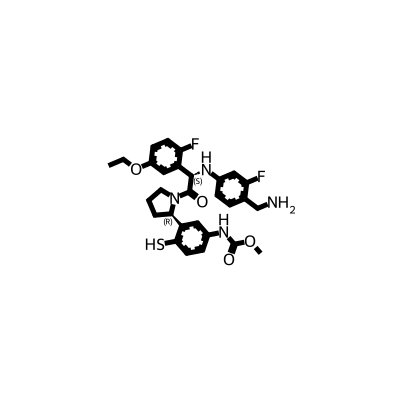 CCOc1ccc(F)c([C@H](Nc2ccc(CN)c(F)c2)C(=O)N2CCC[C@@H]2c2cc(NC(=O)OC)ccc2S)c1